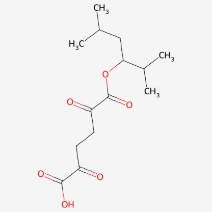 CC(C)CC(OC(=O)C(=O)CCC(=O)C(=O)O)C(C)C